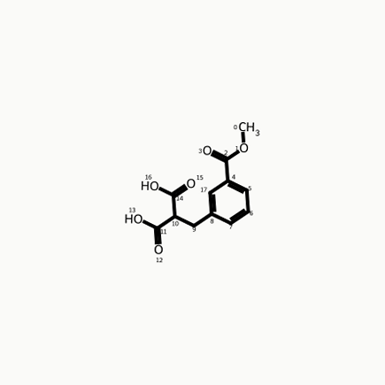 COC(=O)c1cccc(CC(C(=O)O)C(=O)O)c1